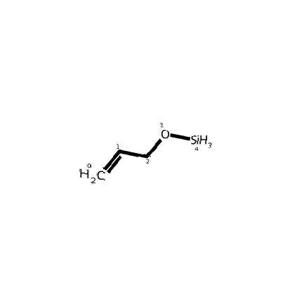 C=C[CH]O[SiH3]